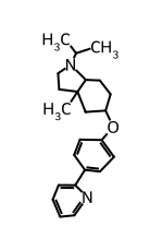 CC(C)N1CCC2(C)CC(Oc3ccc(-c4ccccn4)cc3)CCC12